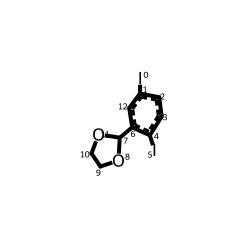 Ic1ccc(I)c(C2OCCO2)c1